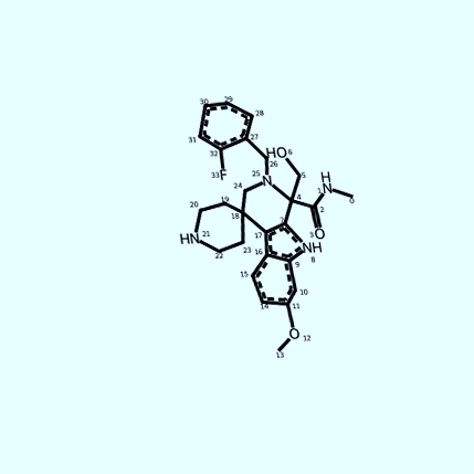 CNC(=O)C1(CO)c2[nH]c3cc(OC)ccc3c2C2(CCNCC2)CN1Cc1ccccc1F